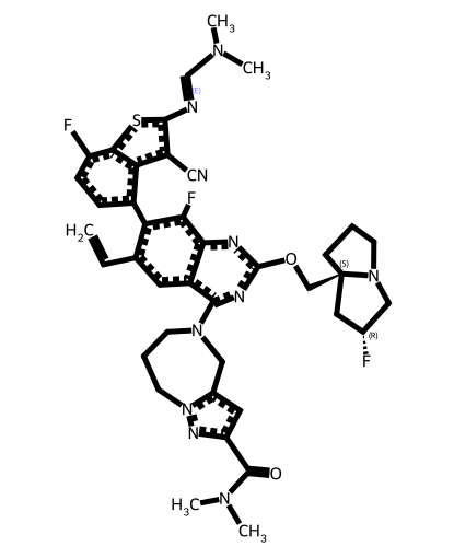 C=Cc1cc2c(N3CCCn4nc(C(=O)N(C)C)cc4C3)nc(OC[C@@]34CCCN3C[C@H](F)C4)nc2c(F)c1-c1ccc(F)c2sc(/N=C/N(C)C)c(C#N)c12